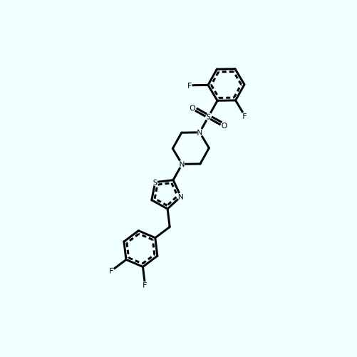 O=S(=O)(c1c(F)cccc1F)N1CCN(c2nc(Cc3ccc(F)c(F)c3)cs2)CC1